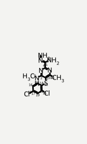 CNc1nc(/C(N)=N/N)nc(C)c1Sc1ccc(Cl)cc1Cl